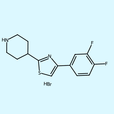 Br.Fc1ccc(-c2csc(C3CCNCC3)n2)cc1F